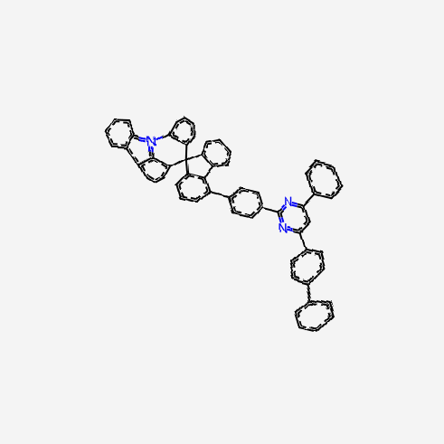 c1ccc(-c2ccc(-c3cc(-c4ccccc4)nc(-c4ccc(-c5cccc6c5-c5ccccc5C65c6ccccc6-n6c7ccccc7c7cccc5c76)cc4)n3)cc2)cc1